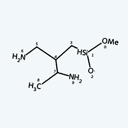 CO[SiH]([O])CC(CN)C(C)N